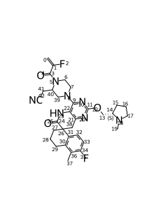 C=C(F)C(=O)N1CCN(c2nc(OC[C@@H]3CCCN3C)nc3c2NC(=O)C2(CCCc4c2ccc(F)c4C)C3)CC1CC#N